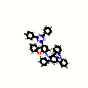 FC(F)(F)c1cc(-c2nc(-c3ccccc3)nc(-c3ccccc3)n2)c2c(oc3ccccc32)c1-n1c2ccccc2c2cc3c4ccccc4n4c5ccccc5c(c21)c34